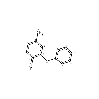 O=c1ccc(C(F)(F)F)cn1Cc1ccccc1